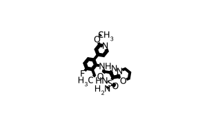 CCc1c(F)ccc(-c2ccnc(OC)c2)c1NC(=O)c1nn2c(c1S(=N)(N)=O)OCCC2